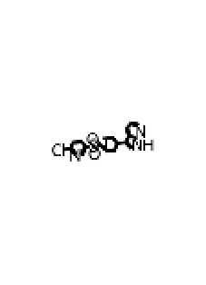 O=S(=O)(c1ccc(Cl)nc1)N1CCC(c2c[nH]c3ncccc23)CC1